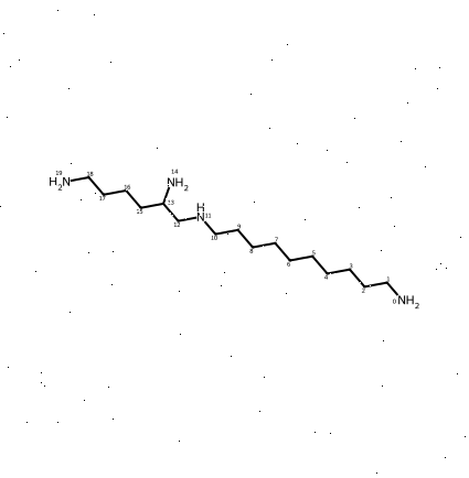 NCCCCCCCCCCNCC(N)CCCCN